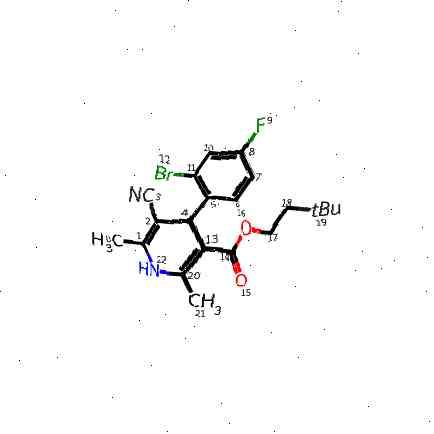 CC1=C(C#N)C(c2ccc(F)cc2Br)C(C(=O)OCCC(C)(C)C)=C(C)N1